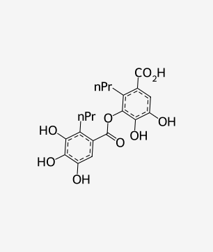 CCCc1c(C(=O)Oc2c(O)c(O)cc(C(=O)O)c2CCC)cc(O)c(O)c1O